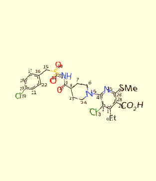 CCc1c(Cl)c(N2CCC(C(=O)NS(=O)(=O)Cc3ccc(Cl)cc3)CC2)nc(SC)c1C(=O)O